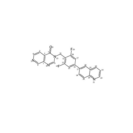 O=c1c2ccncc2ncn1Cc1c(F)cc(-c2ccc3ncccc3c2)cc1F